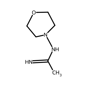 CC(=N)NN1CCOCC1